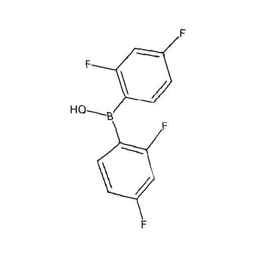 OB(c1ccc(F)cc1F)c1ccc(F)cc1F